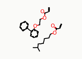 C=CC(=O)OCCCCCC(C)C.C=CC(=O)OCCOc1ccccc1-c1ccccc1